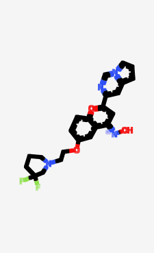 O/N=c1\cc(-c2cc3cccn3cn2)oc2ccc(OCCN3CCCC(F)(F)C3)cc12